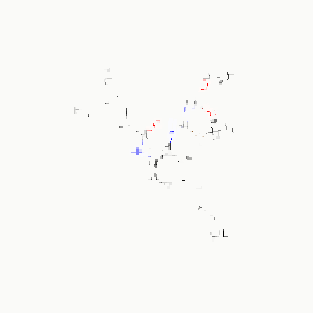 CCCCc1ccc(NC(=O)CCC(C)C)c(NC(=NC(=O)OC)SC)c1